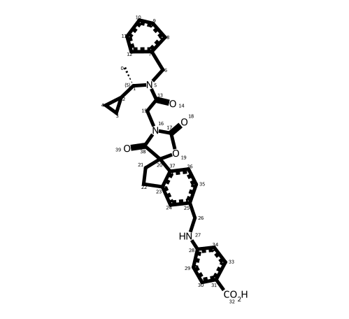 C[C@@H](C1CC1)N(Cc1ccccc1)C(=O)CN1C(=O)OC2(CCc3cc(CNc4ccc(C(=O)O)cc4)ccc32)C1=O